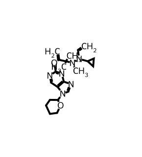 C=CN(C1CC1)N(C)C(C)(C)C(=C)Oc1ncc2c(ncn2C2CCCCO2)n1